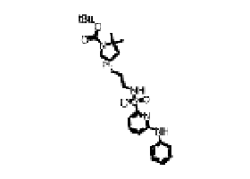 CC(C)(C)OC(=O)N1C[C@@H](CCCNS(=O)(=O)c2cccc(Nc3ccccc3)n2)CC1(C)C